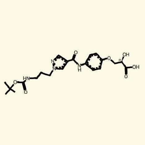 CC(C)(C)OC(=O)NCCCn1cc(C(=O)Nc2ccc(OC[C@@H](O)C(=O)O)cc2)cn1